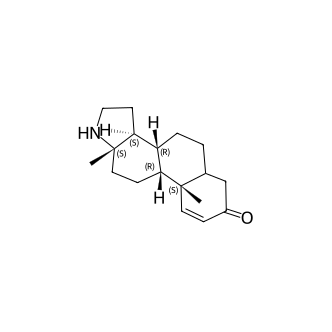 C[C@]12C=CC(=O)CC1CC[C@@H]1[C@H]2CC[C@]2(C)NCC[C@@H]12